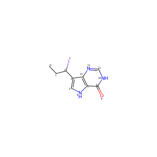 CCC(I)c1c[nH]c2c(=O)[nH]cnc12